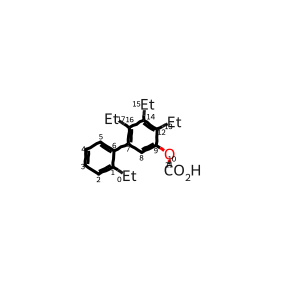 CCc1ccccc1-c1cc(OC(=O)O)c(CC)c(CC)c1CC